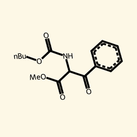 CCCCOC(=O)NC(C(=O)OC)C(=O)c1ccccc1